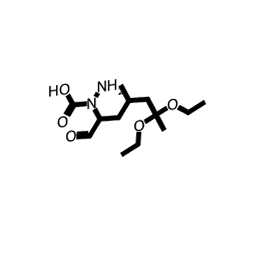 CCOC(C)(CC(C)CC(C=O)N(N)C(=O)O)OCC